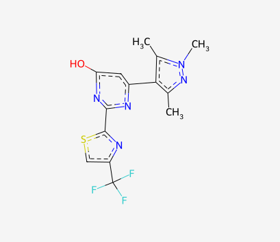 Cc1nn(C)c(C)c1-c1cc(O)nc(-c2nc(C(F)(F)F)cs2)n1